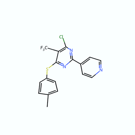 Cc1ccc(Sc2nc(-c3ccncc3)nc(Cl)c2C(F)(F)F)cc1